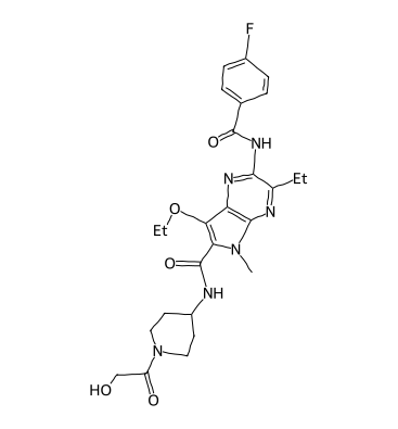 CCOc1c(C(=O)NC2CCN(C(=O)CO)CC2)n(C)c2nc(CC)c(NC(=O)c3ccc(F)cc3)nc12